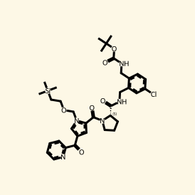 CC(C)(C)OC(=O)NCc1ccc(Cl)cc1CNC(=O)[C@@H]1CCCN1C(=O)c1cc(C(=O)c2ccccn2)cn1COCC[Si](C)(C)C